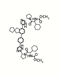 COC(=O)N[C@H](C(=O)N1CCC[C@H]1c1ncc(-c2ccc(-c3ccc(-c4cnc([C@@H]5CCCN5C(=O)[C@@H](NC(=O)OC)C5CCCCC5)[nH]4)c4c3CC3(CCCC3)C4)cc2)[nH]1)C1CCCCC1